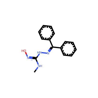 CN/C(=N/O)NN=C(c1ccccc1)c1ccccc1